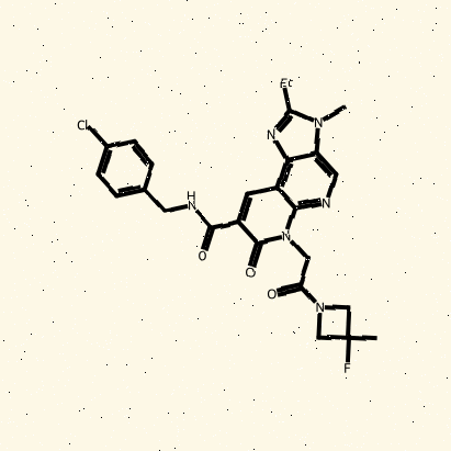 CCc1nc2c3cc(C(=O)NCc4ccc(Cl)cc4)c(=O)n(CC(=O)N4CC(C)(F)C4)c3ncc2n1C